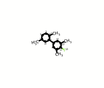 Cc1ccc(C)c(-c2cc(C)c(F)c(C)c2)c1